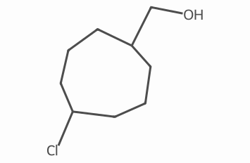 OCC1CCCC(Cl)CCC1